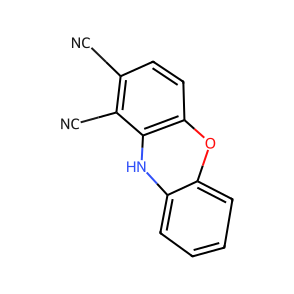 N#Cc1ccc2c(c1C#N)Nc1ccccc1O2